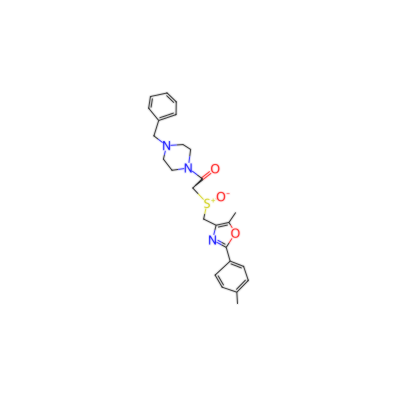 Cc1ccc(-c2nc(C[S+]([O-])CC(=O)N3CCN(Cc4ccccc4)CC3)c(C)o2)cc1